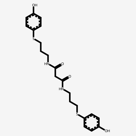 O=C(CC(=O)NCCCSc1ccc(O)cc1)NCCCSc1ccc(O)cc1